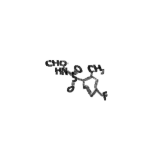 Cc1cc(F)ccc1S(=O)(=O)N[C]=O